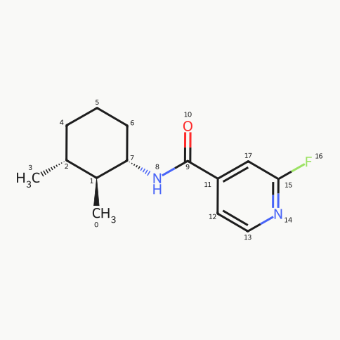 C[C@H]1[C@H](C)CCC[C@@H]1NC(=O)c1ccnc(F)c1